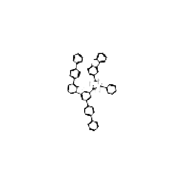 c1ccc(-c2ccc(-c3cc(-c4nc(-c5ccccc5)nc(-c5ccc6sc7ccccc7c6c5)n4)c4sc5c(-c6ccc(-c7ccccc7)cc6)cccc5c4c3)cc2)cc1